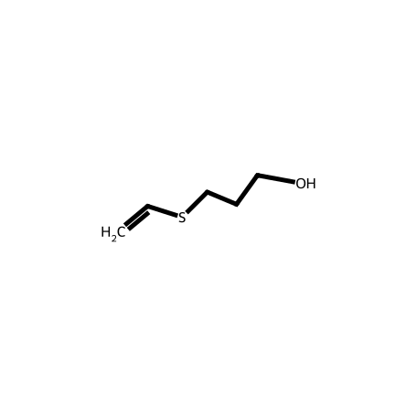 C=CSCCCO